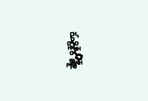 CCOC(=O)C(=O)NNC(=O)c1cccc(NS(=O)(=O)C(F)(F)F)c1